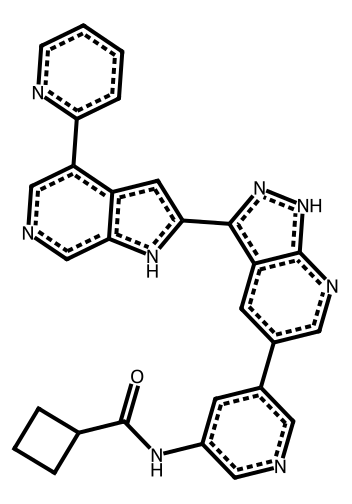 O=C(Nc1cncc(-c2cnc3[nH]nc(-c4cc5c(-c6ccccn6)cncc5[nH]4)c3c2)c1)C1CCC1